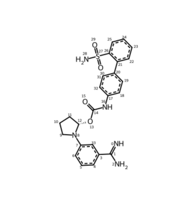 N=C(N)c1cccc(N2CCC[C@@H]2OC(=O)Nc2ccc(-c3ccccc3S(N)(=O)=O)cc2)c1